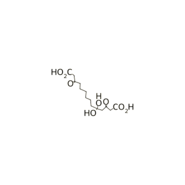 O=C(O)CC(=O)CCCCCCC(O)(O)CC(=O)CC(=O)O